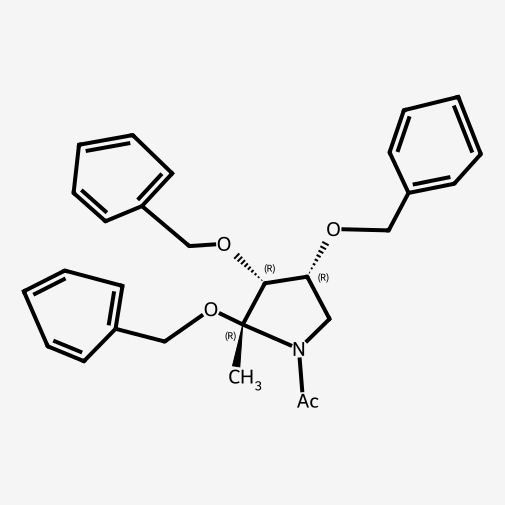 CC(=O)N1C[C@@H](OCc2ccccc2)[C@@H](OCc2ccccc2)[C@@]1(C)OCc1ccccc1